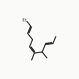 CC=CC(C)C(C)=CCC=CCC